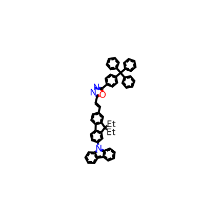 CCC1(CC)c2cc(/C=C/c3nnc(-c4ccc(C(c5ccccc5)(c5ccccc5)c5ccccc5)cc4)o3)ccc2-c2ccc(-n3c4ccccc4c4ccccc43)cc21